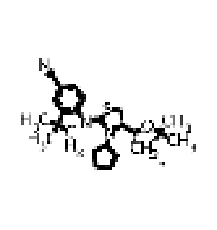 C[C@@H](OC(C)(C)C)[C@@H]1CSC(=Nc2ccc(C#N)cc2C(C)(C)C)N1C1CCCC1